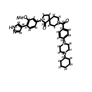 COc1cc(N2CCC3(CCN(C(=O)c4ccc(N5CCN(C6CCCCC6)CC5)cc4)CC3)C2=O)ccc1-c1cn[nH]c1